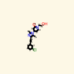 Cc1nc(C#Cc2cccc(Cl)c2)c(C)n1-c1ccn(CCO)c(=O)c1